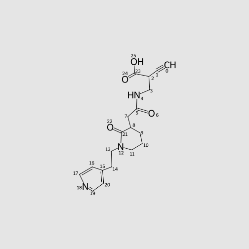 C#CC(CNC(=O)CC1CCCN(CCc2ccncc2)C1=O)C(=O)O